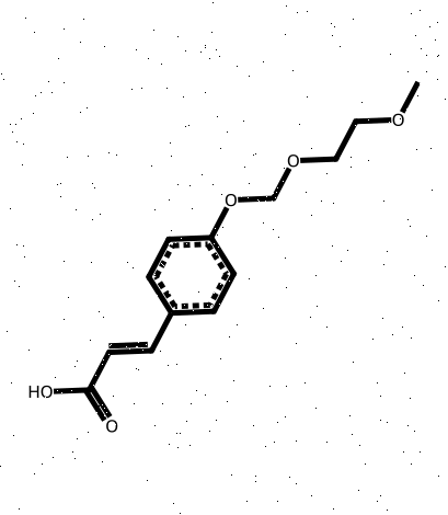 COCCOCOc1ccc(C=CC(=O)O)cc1